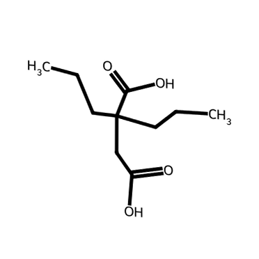 CCCC(CCC)(CC(=O)O)C(=O)O